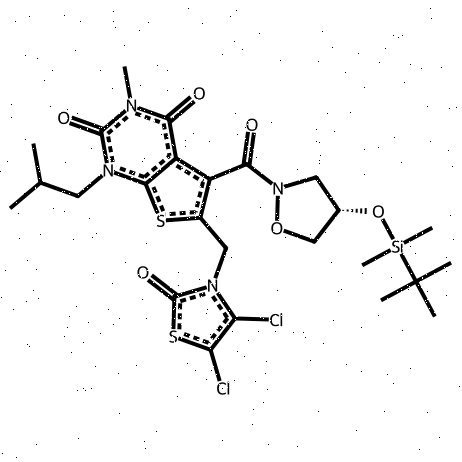 CC(C)Cn1c(=O)n(C)c(=O)c2c(C(=O)N3C[C@H](O[Si](C)(C)C(C)(C)C)CO3)c(Cn3c(Cl)c(Cl)sc3=O)sc21